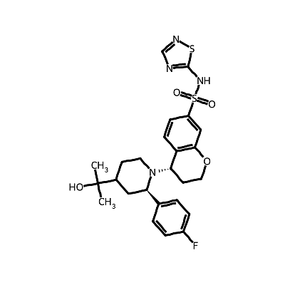 CC(C)(O)C1CCN([C@H]2CCOc3cc(S(=O)(=O)Nc4ncns4)ccc32)[C@@H](c2ccc(F)cc2)C1